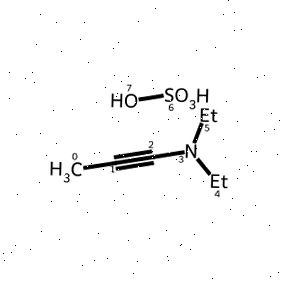 CC#CN(CC)CC.O=S(=O)(O)O